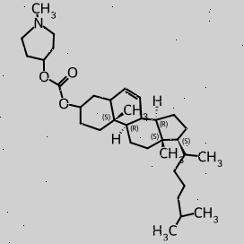 CC(C)CCCC(C)[C@@H]1CC[C@@H]2C3C=CC4CC(OC(=O)OC5CCN(C)CC5)CC[C@@]4(C)[C@@H]3CC[C@]21C